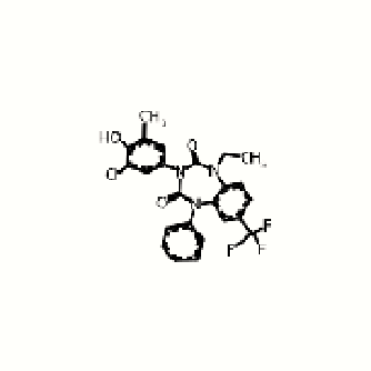 CCN1C(=O)N(c2cc(C)c(O)c(Cl)c2)C(=O)N(c2ccccc2)c2cc(C(F)(F)F)ccc21